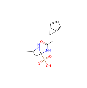 CC(=O)NC1(S(=O)(=O)O)CC(C)N1.c1cc2cc-2c1